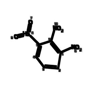 O=[N+]([O-])c1cccc([SH](=O)=O)c1[N+](=O)[O-]